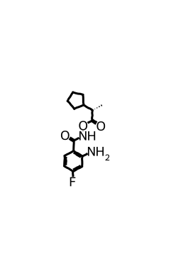 C[C@H](C(=O)ONC(=O)c1ccc(F)cc1N)C1CCCC1